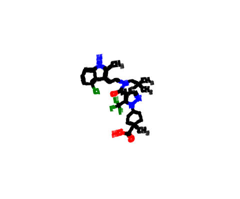 Cc1[nH]c2cccc(Cl)c2c1CCN(CC(C)(C)C)C(=O)c1cnn(C2CCC(C)(C(=O)O)CC2)c1C(F)(F)F